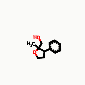 CC1(CO)OCCC1c1ccccc1